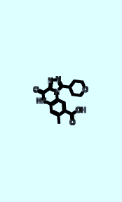 Cc1cc2[nH]c(=O)c3nnc(C4CCOCC4)n3c2cc1C(=O)O